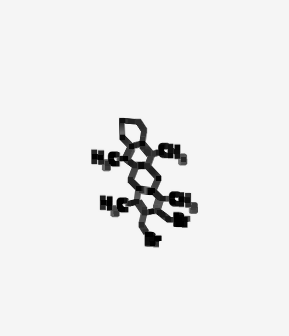 Cc1c(CBr)c(CBr)c(C)c2c1Cc1c(C)c3c(c(C)c1C2)CCCC3